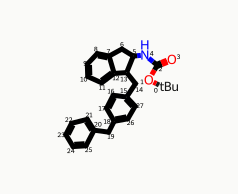 CC(C)(C)OC(=O)NC1Cc2ccccc2C1Cc1ccc(Cc2ccccc2)cc1